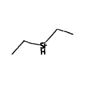 CC[SiH]CC